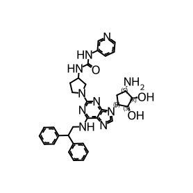 N[C@H]1C[C@@H](n2cnc3c(NCC(c4ccccc4)c4ccccc4)nc(N4CCC(NC(=O)Nc5cccnc5)C4)nc32)[C@H](O)[C@@H]1O